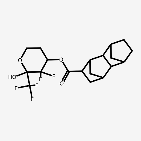 O=C(OC1CCOC(O)(C(F)(F)F)C1(F)F)C1CC2CC1C1C3CCC(C3)C21